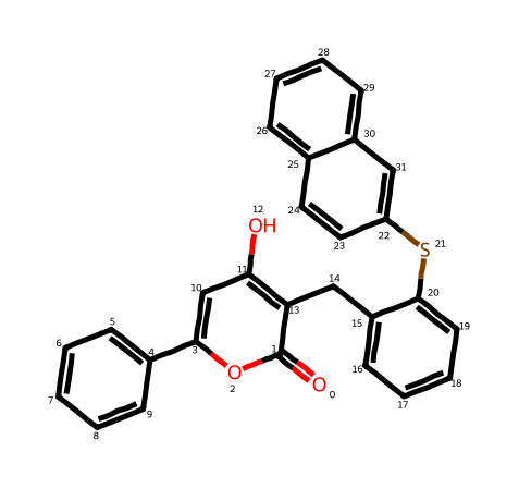 O=c1oc(-c2ccccc2)cc(O)c1Cc1ccccc1Sc1ccc2ccccc2c1